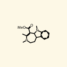 COC(=O)C1=C(C)N(C)CCC2c3ccccc3N(C)C12